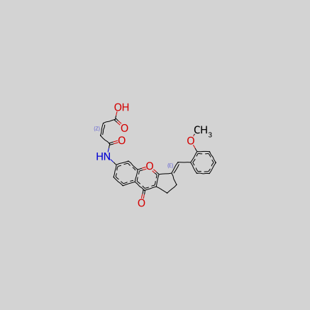 COc1ccccc1/C=C1\CCc2c1oc1cc(NC(=O)/C=C\C(=O)O)ccc1c2=O